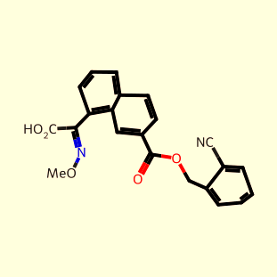 CON=C(C(=O)O)c1cccc2ccc(C(=O)OCc3ccccc3C#N)cc12